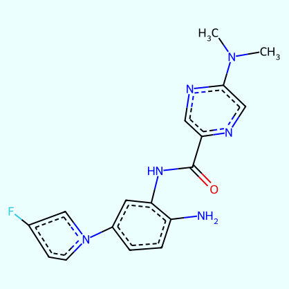 CN(C)c1cnc(C(=O)Nc2cc(-n3ccc(F)c3)ccc2N)cn1